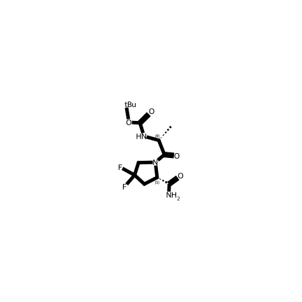 C[C@@H](NC(=O)OC(C)(C)C)C(=O)N1CC(F)(F)C[C@H]1C(N)=O